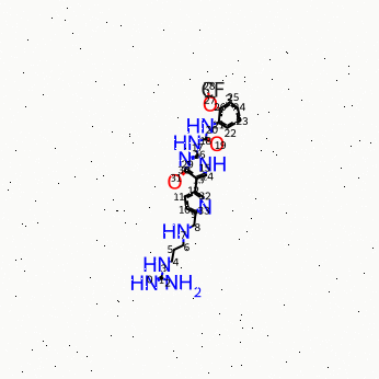 N=C(N)NCCCNCc1ccc(-c2c[nH]c(NC(=O)Nc3ccccc3OC(F)(F)F)nc2=O)cn1